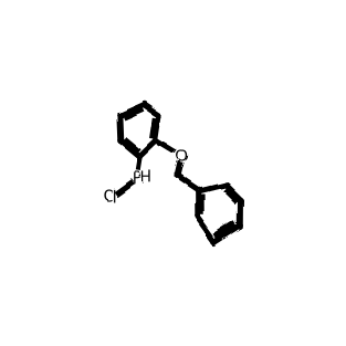 ClPc1ccccc1OCc1ccccc1